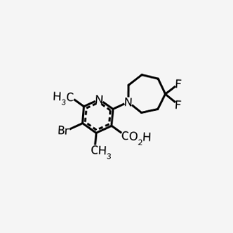 Cc1nc(N2CCCC(F)(F)CC2)c(C(=O)O)c(C)c1Br